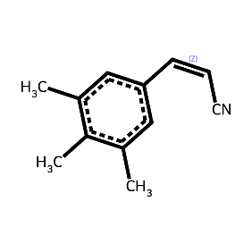 Cc1cc(/C=C\C#N)cc(C)c1C